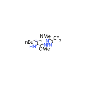 CCCC/C=C1/C=CC(Nc2ncc(C(F)(F)F)c(NC)n2)=C(OC)C1=N